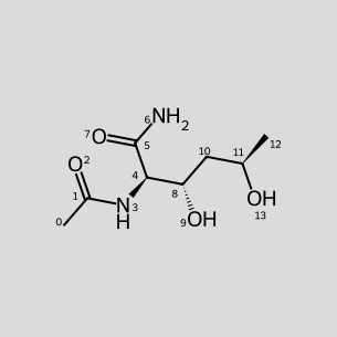 CC(=O)N[C@@H](C(N)=O)[C@@H](O)C[C@@H](C)O